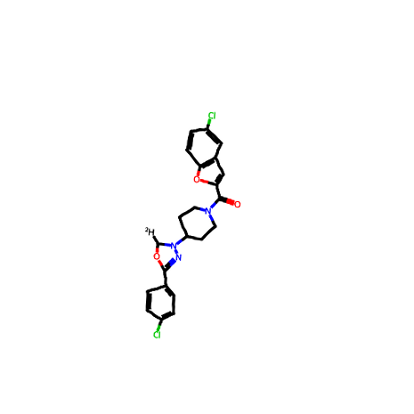 [2H]C1OC(c2ccc(Cl)cc2)=NN1C1CCN(C(=O)c2cc3cc(Cl)ccc3o2)CC1